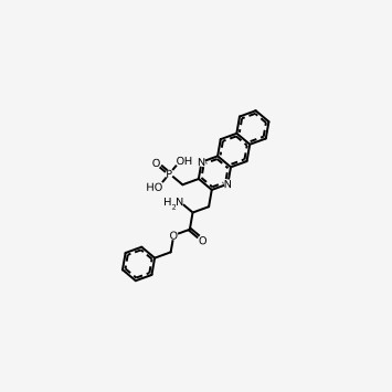 NC(Cc1nc2cc3ccccc3cc2nc1CP(=O)(O)O)C(=O)OCc1ccccc1